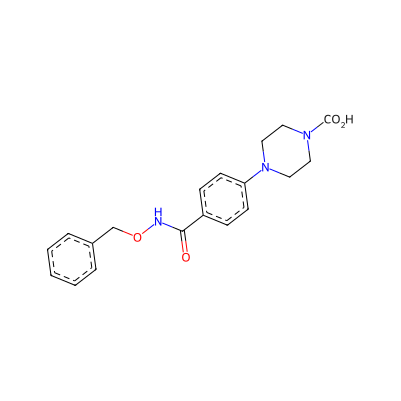 O=C(NOCc1ccccc1)c1ccc(N2CCN(C(=O)O)CC2)cc1